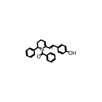 O=C(c1ccccc1)N1C(/C=C/c2ccc(O)cc2)=CCCC1c1ccccc1